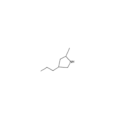 CCCC1CNC(C)C1